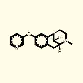 CN1CC[C@]23CCCC[C@H]2[C@H]1Cc1ccc(Oc2cccnc2)cc13